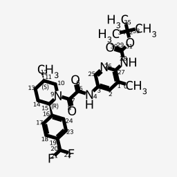 Cc1cc(NC(=O)C(=O)N2C[C@@H](C)CC[C@@H]2c2ccc(C(F)F)cc2)cnc1NC(=O)OC(C)(C)C